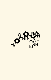 CCNC(=O)Nc1cc(-c2cccc(NC(=O)c3ccc(N(C)C)cc3)c2C)nn2ccnc12